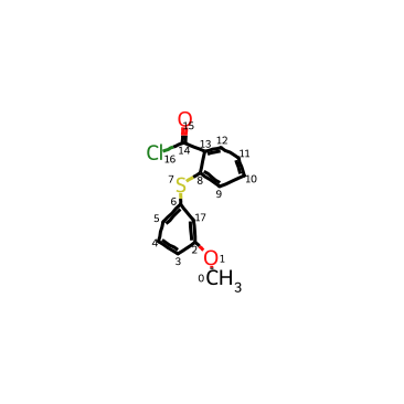 COc1cccc(Sc2ccccc2C(=O)Cl)c1